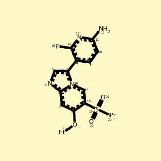 CCOc1cc2ncc(-c3ccc(N)nc3F)n2cc1S(=O)(=O)C(C)C